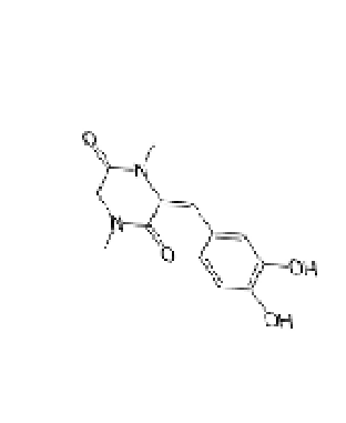 CN1CC(=O)N(C)C(=Cc2ccc(O)c(O)c2)C1=O